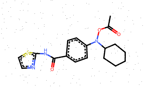 CC(=O)ON(c1ccc(C(=O)Nc2nccs2)cc1)C1CCCCC1